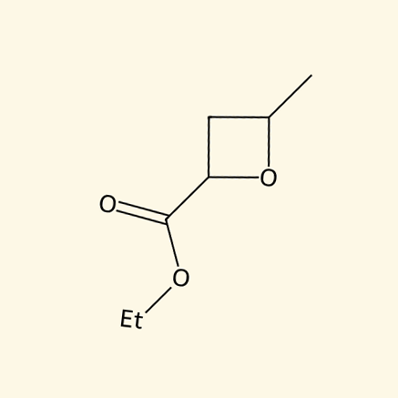 CCOC(=O)C1CC(C)O1